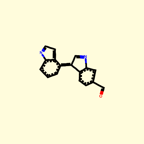 O=Cc1ccc2c(c1)N=CC2=c1cccc2c1=CC=N2